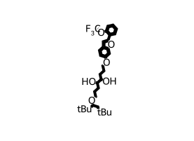 CC(C)(C)CC(OCCCC(O)C(O)CCCOc1ccc2cc(-c3ccccc3OC(F)(F)F)oc2c1)C(C)(C)C